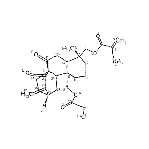 C=C(N)C(=O)OC[C@]1(C)CCC[C@]2(COC(=O)CCl)C1CC(=O)[C@@]13CC[C@@H](CC12)C(=C)C3=O